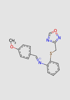 COc1ccc(/C=N/c2ccccc2SCc2ncon2)cc1